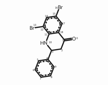 O=C1CC(c2ccccc2)Nc2c(Br)cc(Br)cc21